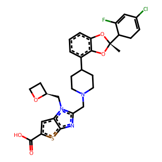 C[C@]1(C2CC=C(Cl)C=C2F)Oc2cccc(C3CCN(Cc4nc5sc(C(=O)O)cc5n4C[C@@H]4CCO4)CC3)c2O1